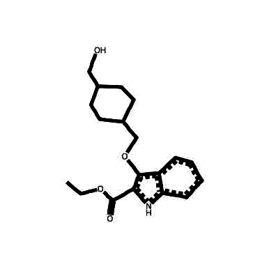 CCOC(=O)c1[nH]c2ccccc2c1OCC1CCC(CO)CC1